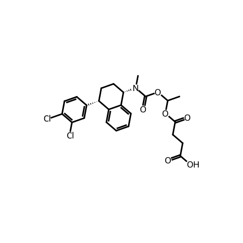 CC(OC(=O)CCC(=O)O)OC(=O)N(C)[C@H]1CC[C@@H](c2ccc(Cl)c(Cl)c2)c2ccccc21